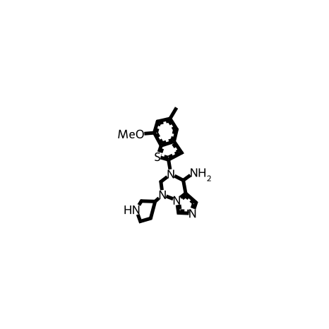 COc1cc(C)cc2cc(N3CN(C4CCNC4)n4cncc4C3N)sc12